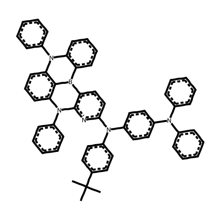 CC(C)(C)c1ccc(N(c2ccc(N(c3ccccc3)c3ccccc3)cc2)c2ccc3c(n2)N(c2ccccc2)c2cccc4c2B3c2ccccc2N4c2ccccc2)cc1